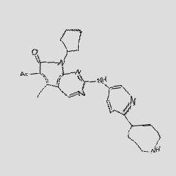 CC(=O)c1c(C)c2cnc(Nc3ccc(C4CCNCC4)nc3)nc2n(C2CCCC2)c1=O